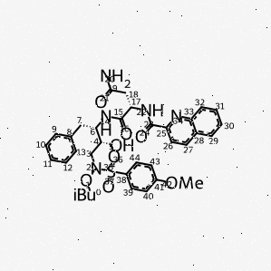 CCC(C)ON(C[C@@H](O)[C@H](Cc1ccccc1)NC(=O)[C@H](CC(N)=O)NC(=O)c1ccc2ccccc2n1)S(=O)(=O)c1ccc(OC)cc1